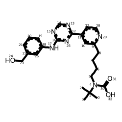 CC(C)(C)N(CCCCc1cc(-c2ncnc(Nc3cccc(CO)c3)n2)ccn1)C(=O)O